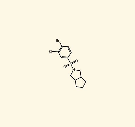 O=S(=O)(c1ccc(Br)c(Cl)c1)N1CC2CCCC2C1